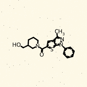 Cc1nn(-c2ccccc2)c2sc(C(=O)N3CCCC(CO)C3)cc12